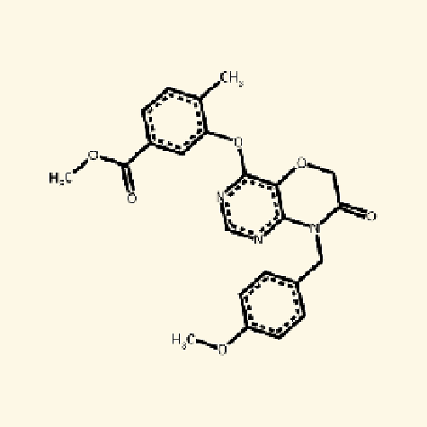 COC(=O)c1ccc(C)c(Oc2ncnc3c2OCC(=O)N3Cc2ccc(OC)cc2)c1